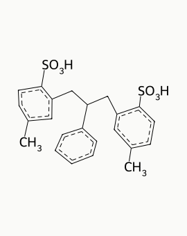 Cc1ccc(S(=O)(=O)O)c(CC(Cc2cc(C)ccc2S(=O)(=O)O)c2ccccc2)c1